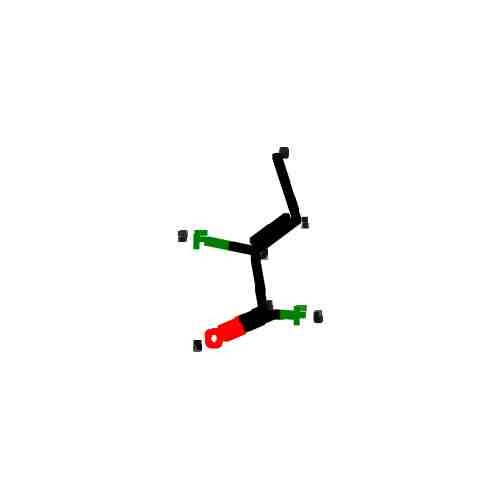 CC=C(F)C(=O)F